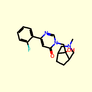 CN1CC2CCC(C1)C2(O)Cn1cnc(-c2ccccc2F)cc1=O